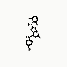 Cc1nc(Nc2ccc(C(C)C)cc2)c2nc(Nc3c(C)cccc3C)sc2n1